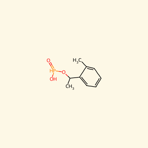 Cc1ccccc1C(C)O[PH](=O)O